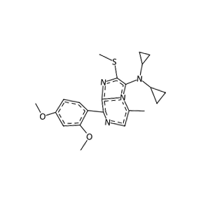 COc1ccc(-c2ncc(C)n3c(N(C4CC4)C4CC4)c(SC)nc23)c(OC)c1